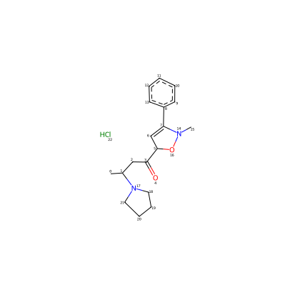 CC(CC(=O)C1C=C(c2ccccc2)N(C)O1)N1CCCC1.Cl